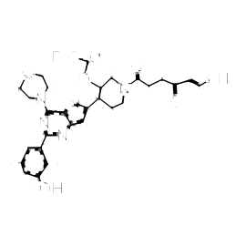 CC=CC(=O)CCC(=O)N1CCC(c2cc3nc(-c4cccc(O)c4)nc(N4CCOCC4)c3s2)C(OC(=O)C(F)(F)F)C1